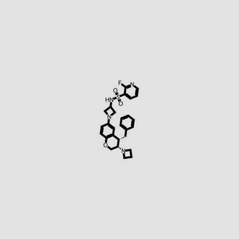 O=S(=O)(NC1CN(c2ccc3c(c2)[C@H](Cc2ccccc2)[C@H](N2CCC2)CO3)C1)c1cccnc1F